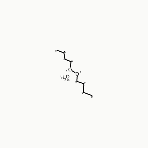 CCCCOOCCCC.O